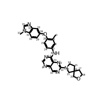 Cc1cc(Nc2ncnc3cnc(N4CCC5(CCOC5)C4)nc23)ccc1Oc1ccc2c(c1)ncn2C